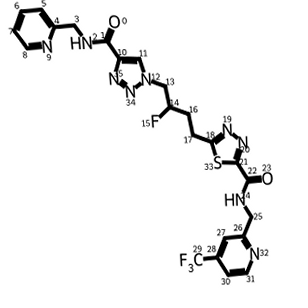 O=C(NCc1ccccn1)c1cn(CC(F)CCc2nnc(C(=O)NCc3cc(C(F)(F)F)ccn3)s2)nn1